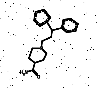 NC(=O)C1CCN(CCC(c2ccccc2)c2ccccc2)CC1